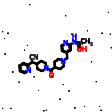 CB(O)Nc1cc(CN2CCC(C(=O)N3CCC(C(C#N)c4ccccn4)CC3)CC2)ccn1